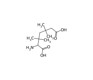 CC(C)(CC(=O)O)CC(C)(C)C(N)C(=O)O